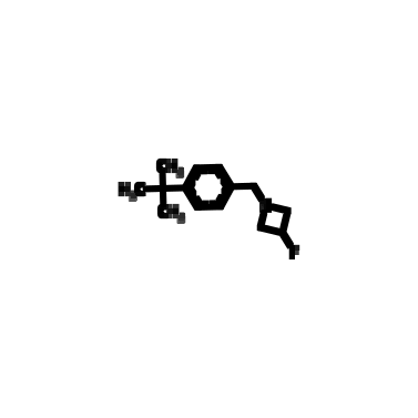 CC(C)(C)c1ccc(CN2CC(F)C2)cc1